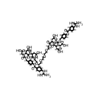 N=C(N)Nc1ccc(C(=O)Oc2ccc(COC(=O)N(CC(=O)O)C(CC(=O)O)C(=O)NC(CC(=O)O)C(=O)NCCOCCOCCOCCOCCNC(=O)[C@H](CC(=O)O)NC(=O)[C@H](CC(=O)O)N(CC(=O)O)C(=O)OCc3ccc(OC(=O)c4ccc(NC(=N)N)cc4)cc3)cc2)cc1